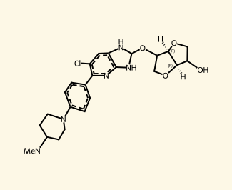 CNC1CCN(c2ccc(-c3nc4c(cc3Cl)NC(OC3CO[C@@H]5C(O)CO[C@H]35)N4)cc2)CC1